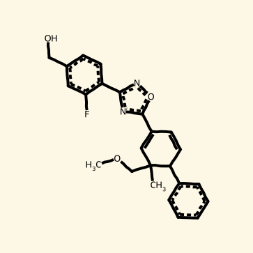 COCC1(C)C=C(c2nc(-c3ccc(CO)cc3F)no2)C=CC1c1ccccc1